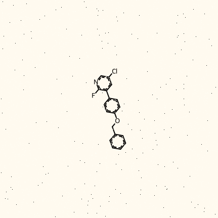 Fc1ncc(Cl)cc1-c1ccc(OCc2ccccc2)cc1